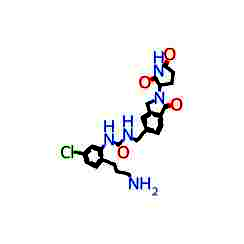 NCCCc1ccc(Cl)cc1NC(=O)NCc1ccc2c(c1)CN(C1CCC(=O)NC1=O)C2=O